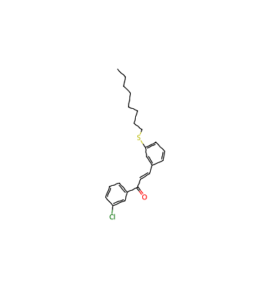 CCCCCCCCSc1cccc(/C=C/C(=O)c2cccc(Cl)c2)c1